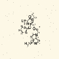 CCC(NP(=O)(CO[C@H](C)Cn1cnc2c(N)ncnc21)Oc1ccccc1)C1OCCO1